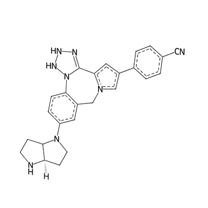 N#Cc1ccc(-c2cc3n(c2)Cc2cc(N4CC[C@H]5NCCC54)ccc2N2NNN=C32)cc1